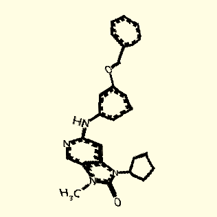 Cn1c(=O)n(C2CCCC2)c2cc(Nc3cccc(OCc4ccccc4)c3)ncc21